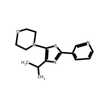 CC(C)c1nc(-c2cccnc2)sc1N1CCOCC1